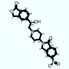 O=C1OCc2cc([C@@H](O)CN3CCC(N4Cc5cc([N+](=O)[O-])ccc5C4=O)CC3)ccc21